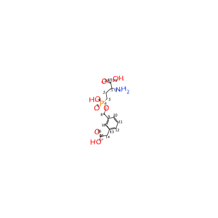 NC(CCP(=O)(O)OCc1cccc(CC(=O)O)c1)C(=O)O